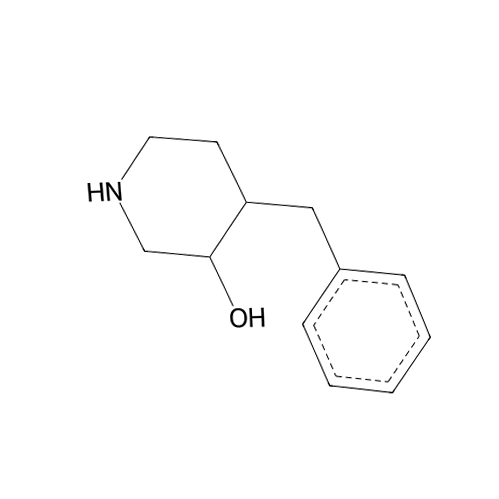 OC1CNCCC1Cc1ccccc1